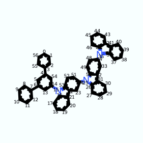 c1ccc(-c2cc(-c3ccccc3)cc(-n3c4ccccc4c4cc(-n5c6ccccc6c6cc(-n7c8ccccc8c8ccccc87)ccc65)ccc43)c2)cc1